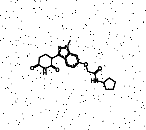 Cn1nc(C2CCC(=O)NC2=O)c2ccc(OCC(=O)NC3CCCC3)cc21